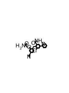 N#Cc1ccc(Cc2c(Cl)cc(-c3ccccn3)cc2C(N)=O)c(OCC(N)=O)c1